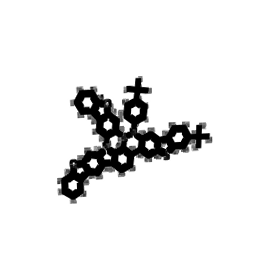 CC(C)(C)c1ccc(N2B3c4cc5oc6ccccc6c5cc4-n4c5cc6oc7ccccc7c6cc5c5ccc(c3c54)-c3cc4sc5cc(C(C)(C)C)ccc5c4cc32)cc1